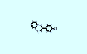 NC(Cc1ccccc1)c1ccc(Cl)cc1